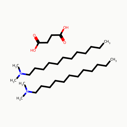 CCCCCCCCCCCCN(C)C.CCCCCCCCCCCCN(C)C.O=C(O)CCC(=O)O